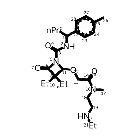 CCCC(NC(=O)N1C(=O)C(CC)(CC)C1OCC(=O)N(C)CCNCC)c1ccc(C)cc1